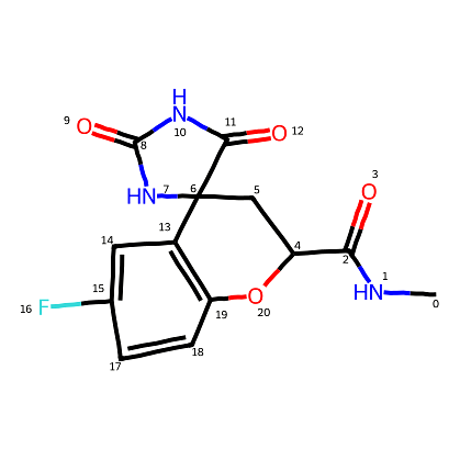 CNC(=O)C1CC2(NC(=O)NC2=O)c2cc(F)ccc2O1